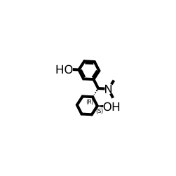 CN(C)C(c1cccc(O)c1)[C@H]1CCCC[C@@H]1O